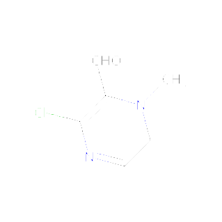 CN1CC=NC(Cl)=C1[C]=O